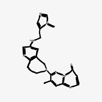 Cc1cc2nccc(=O)n2nc1N1CCc2ncc(NCc3cncn3C)cc2C1